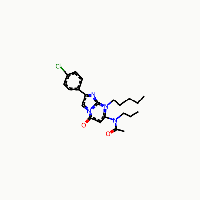 CCCCCn1c(N(CCC)C(C)=O)cc(=O)n2cc(-c3ccc(Cl)cc3)nc12